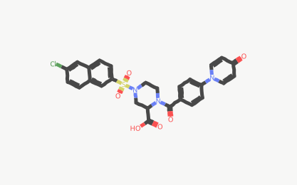 O=C(O)C1CN(S(=O)(=O)c2ccc3cc(Cl)ccc3c2)CCN1C(=O)c1ccc(-n2ccc(=O)cc2)cc1